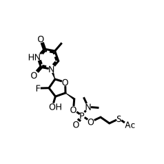 CC(=O)SCCOP(=O)(OC[C@@H]1O[C@H](n2cc(C)c(=O)[nH]c2=O)C(F)C1O)N(C)C